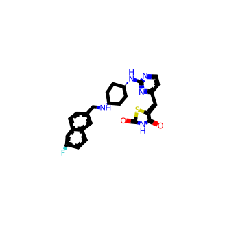 O=C1NC(=O)C(=Cc2ccnc(N[C@H]3CC[C@H](NCc4ccc5cc(F)ccc5c4)CC3)n2)S1